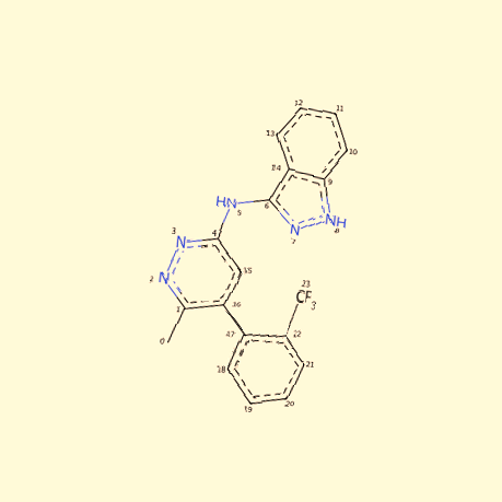 Cc1nnc(Nc2n[nH]c3ccccc23)cc1-c1ccccc1C(F)(F)F